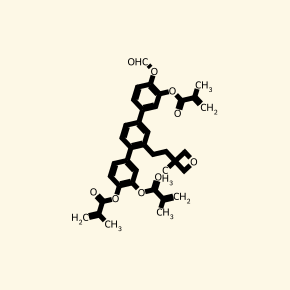 C=C(C)C(=O)Oc1cc(-c2ccc(-c3ccc(OC(=O)C(=C)C)c(OC(=O)C(=C)C)c3)c(CCC3(C)COC3)c2)ccc1OC=O